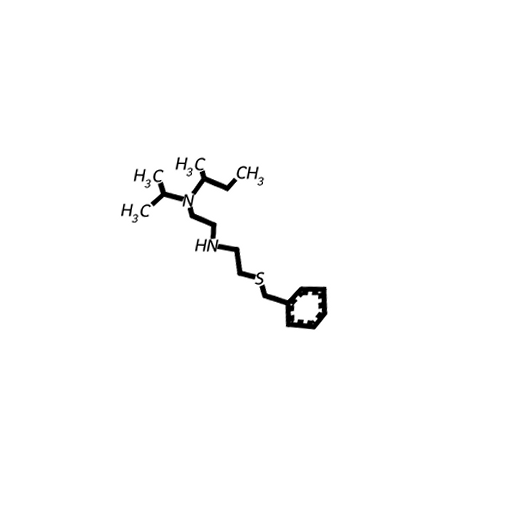 CCC(C)N(CCNCCSCc1ccccc1)C(C)C